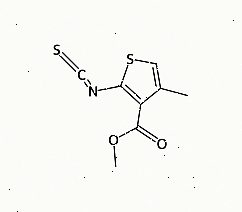 COC(=O)c1c(C)csc1N=C=S